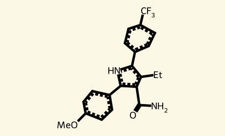 CCc1c(-c2ccc(C(F)(F)F)cc2)[nH]c(-c2ccc(OC)cc2)c1C(N)=O